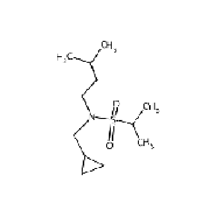 CC(C)CCN(CC1CC1)S(=O)(=O)C(C)C